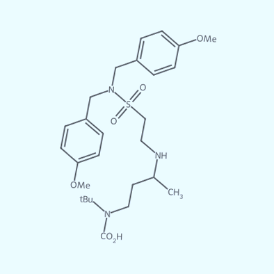 COc1ccc(CN(Cc2ccc(OC)cc2)S(=O)(=O)CCNC(C)CCN(C(=O)O)C(C)(C)C)cc1